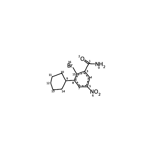 NC(=O)c1cc([N+](=O)[O-])cc(C2CCCCC2)c1Br